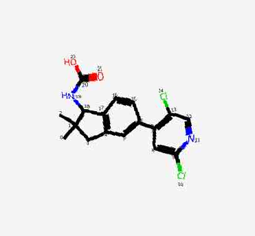 CC1(C)Cc2cc(-c3cc(Cl)ncc3Cl)ccc2C1NC(=O)O